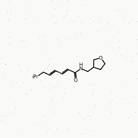 CC(C)C/C=C/C=C/C(=O)NCC1CCOC1